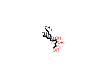 CCCCCCO[C@@]1(CCCCCC)O[C@@H]([C@H](O)CO)[C@H](O)[C@H]1O